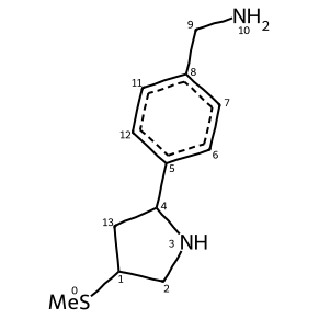 CSC1CNC(c2ccc(CN)cc2)C1